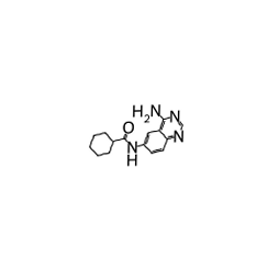 Nc1ncnc2ccc(NC(=O)C3CCCCC3)cc12